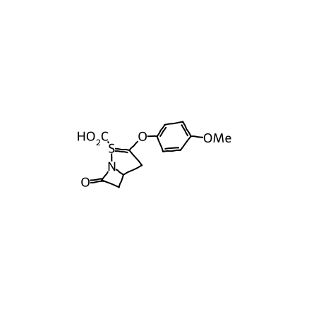 COc1ccc(OC2=S(C(=O)O)N3C(=O)CC3C2)cc1